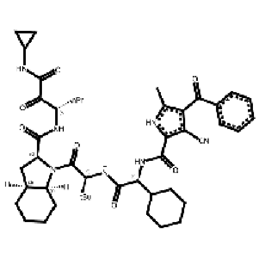 CCC[C@H](NC(=O)[C@@H]1C[C@@H]2CCCC[C@@H]2N1C(=O)[C@@H](NC(=O)[C@@H](NC(=O)c1[nH]c(C)c(C(=O)c2ccccc2)c1C#N)C1CCCCC1)C(C)(C)C)C(=O)C(=O)NC1CC1